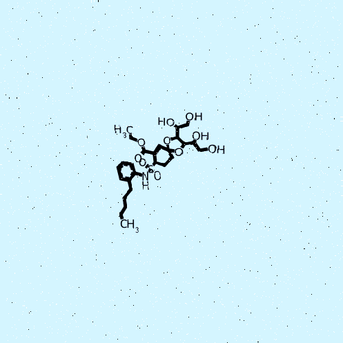 CCCCCc1ccccc1NS(=O)(=O)C1CCC2(C=C1C(=O)OCC)OC(C(O)CO)C(C(O)CO)O2